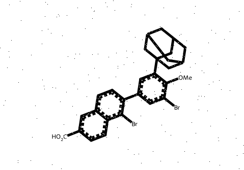 COc1c(Br)cc(-c2ccc3cc(C(=O)O)ccc3c2Br)cc1C12CC3CC(CC(C3)C1)C2